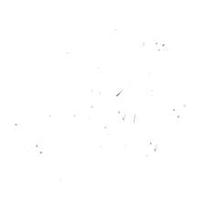 COc1ccc(C)cc1[C@]1(C(=O)NS(=O)(=O)c2cccc3nc(C)ccc23)C[C@@H]1c1cnc(C)cn1